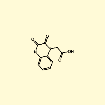 O=C(O)CN1C(=O)C(=O)[N]c2ccccc21